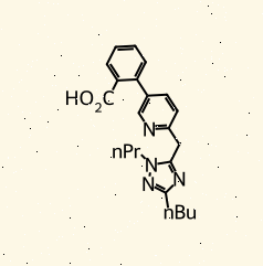 CCCCc1nc(Cc2ccc(-c3ccccc3C(=O)O)cn2)n(CCC)n1